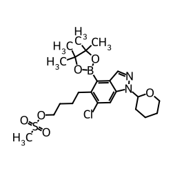 CC1(C)OB(c2c(CCCCOS(C)(=O)=O)c(Cl)cc3c2cnn3C2CCCCO2)OC1(C)C